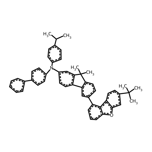 CC(C)c1ccc(N(c2ccc(-c3ccccc3)cc2)c2ccc3c(c2)C(C)(C)c2ccc(-c4cccc5oc6cc(C(C)(C)C)ccc6c45)cc2-3)cc1